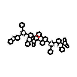 c1ccc(-c2nc(-c3ccc4c(c3)sc3ccccc34)nc(-c3cccc4c3Oc3ccccc3C43c4ccccc4-c4c(-c5cccc6c(-c7nc(-c8ccccc8)nc(-c8cccc9c8Oc8ccccc8C98c9ccccc9-c9ccccc98)n7)ccc(-c7ccccc7)c56)cccc43)n2)cc1